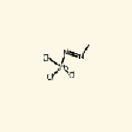 CN=N[PH](Cl)(Cl)Cl